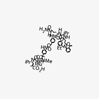 C=Cc1ccccc1N(Cc1ccccc1CC)C(=O)CCC(=O)N[C@H](C(=O)N[C@@H](CCCNC(N)=O)C(=O)Nc1ccc(COC(=O)Nc2ccc(C(C)(C)[C@@H](NC)C(=O)N[C@H](C(=O)N(C)[C@H](/C=C(\C)C(=O)O)C(C)C)C(C)(C)C)cc2)cc1)C(C)C